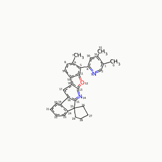 Cc1cnc(-c2c(C)ccc3c2oc2nc4c(cc23)-c2ccccc2C42CCCC2)cc1C